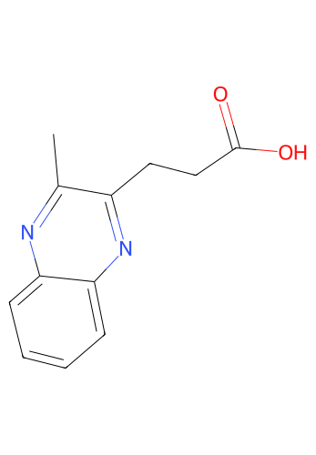 Cc1nc2ccccc2nc1CCC(=O)O